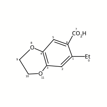 CCc1cc2c(cc1C(=O)O)OCCO2